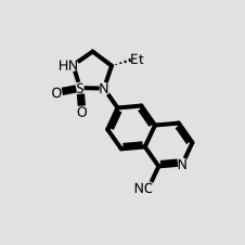 CC[C@H]1CNS(=O)(=O)N1c1ccc2c(C#N)nccc2c1